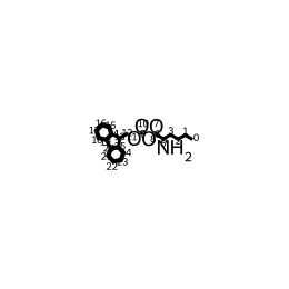 CCCC[C@H](N)C(=O)OC(=O)OCC1c2ccccc2-c2ccccc21